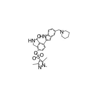 Cc1nn(C)c(C)c1S(=O)(=O)Oc1ccc(-c2cc3cc(CN4CCCCC4)ccc3[nH]2)c2c1CNC2=O